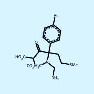 CSCCC(C(=O)C(C(=O)O)C(=O)O)(c1ccc(C(C)=O)cc1)N(C)CN